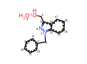 O.OCc1nn(Cc2ccccc2)c2ccccc12